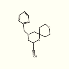 C#CC1CN(Cc2ccccc2)CC2(CCOCC2)O1